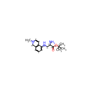 CN1C=Cc2c(cccc2NCC(N)C(=O)OC(C)(C)C)C1